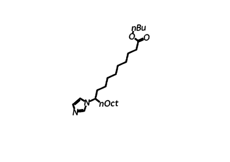 CCCCCCCCC(CCCCCCCCC(=O)OCCCC)n1ccnc1